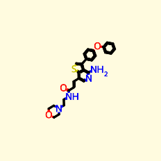 Nc1ncc(C=CC(=O)NCCN2CCOCC2)c2scc(-c3ccc(Oc4ccccc4)cc3)c12